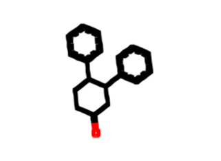 O=C1CCC(c2ccccc2)C(c2ccccc2)C1